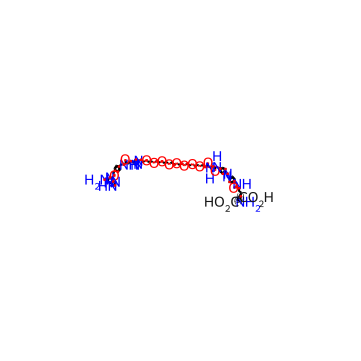 Nc1nc(OCc2ccc(CNC(=O)CCc3cn(CCOCCOCCOCCOCCOCCOCCOCCOCCC(=O)NCC(=O)Nc4ccc(N=Nc5ccc(NC(=O)CCC[C@@H](C[C@H](N)C(=O)O)C(=O)O)cc5)cc4)nn3)cc2)c2nc[nH]c2n1